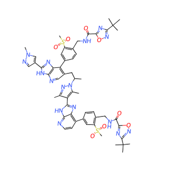 Cc1nn(C(C)Cc2cnc3[nH]c(-c4cnn(C)c4)nc3c2-c2ccc(CNC(=O)c3nc(C(C)(C)C)no3)c(S(C)(=O)=O)c2)c(C)c1-c1nc2c(-c3ccc(CNC(=O)c4nc(C(C)(C)C)no4)c(S(C)(=O)=O)c3)ccnc2[nH]1